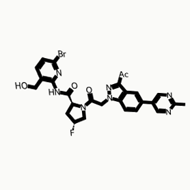 CC(=O)c1nn(CC(=O)N2C[C@H](F)C[C@H]2C(=O)Nc2nc(Br)ccc2CO)c2ccc(-c3cnc(C)nc3)cc12